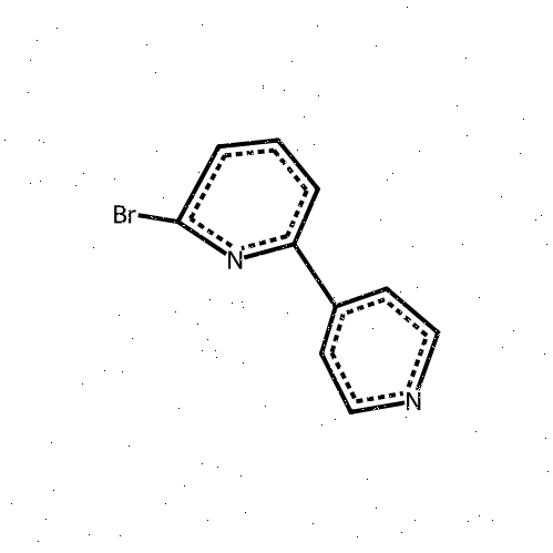 Brc1cccc(-c2ccncc2)n1